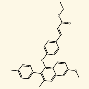 CCOC(=O)/C=C/c1ccc(Oc2c(-c3ccc(F)cc3)c(C)cc3cc(OC)ccc23)cc1